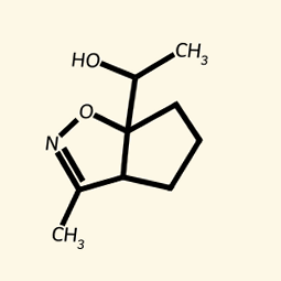 CC1=NOC2(C(C)O)CCCC12